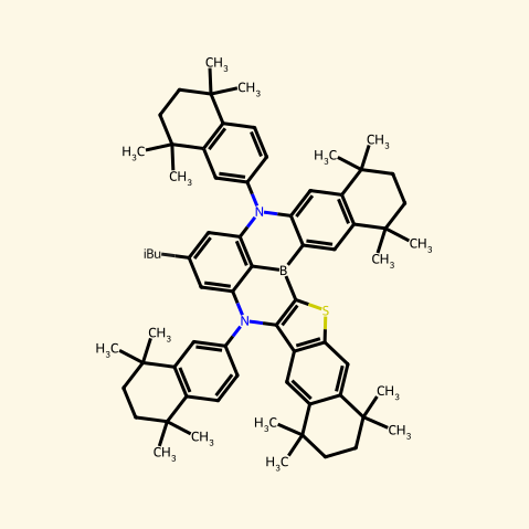 CCC(C)c1cc2c3c(c1)N(c1ccc4c(c1)C(C)(C)CCC4(C)C)c1c(sc4cc5c(cc14)C(C)(C)CCC5(C)C)B3c1cc3c(cc1N2c1ccc2c(c1)C(C)(C)CCC2(C)C)C(C)(C)CCC3(C)C